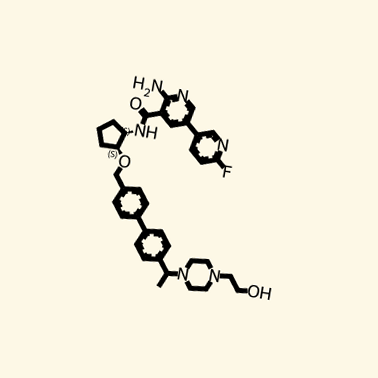 CC(c1ccc(-c2ccc(CO[C@H]3CCC[C@@H]3NC(=O)c3cc(-c4ccc(F)nc4)cnc3N)cc2)cc1)N1CCN(CCO)CC1